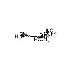 CC(O)(CCCCCCCCCOS(C)(=O)=O)C(=O)Nc1ccc([N+](=O)[O-])c(C(F)(F)F)c1